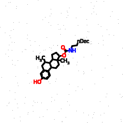 CCCCCCCCCCCCNC(=O)OC1CCC2C3C(C)Cc4cc(O)ccc4C3CCC12C